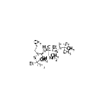 C=CCN(SC(C)(C)CC)C(S)=NC(C)(CN)C(C)(CC)SNC(C)(C)CCC